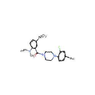 CCCN(C)c1ccc([N+](=O)[O-])cc1C(=O)N1CCN(c2ccc(C(C)=O)cc2F)CC1